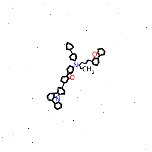 C=CC(C/C=C/c1cccc2c1oc1ccccc12)N(c1ccc(-c2ccccc2)cc1)c1ccc2c(c1)oc1cc(-c3ccc4c(c3)c3cccc5c6ccccc6n4c53)ccc12